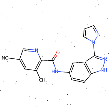 Cc1cc(C#N)cnc1C(=O)Nc1ccc2[nH]nc(-n3cccn3)c2c1